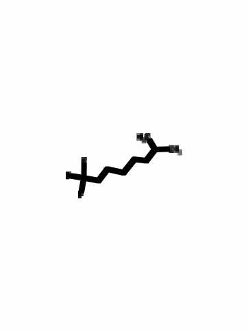 CC(C)CCC[CH]CC(F)(F)F